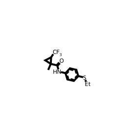 CCSc1ccc(NC(=O)C2(C)CC2C(F)(F)F)cc1